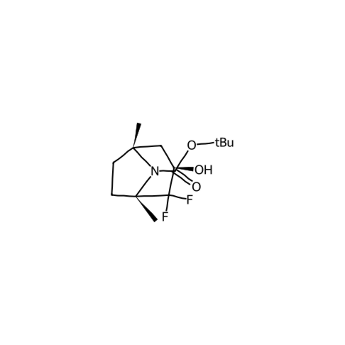 CC(C)(C)OC(=O)N1[C@]2(C)CC[C@@]1(C)C(F)(F)[C@H](O)C2